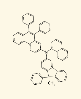 CC1(c2ccccc2)c2ccccc2-c2cc(N(c3ccc4c(c3)c(-c3ccccc3)c(-c3ccccc3)c3ccccc34)c3cccc4ccccc34)ccc21